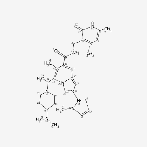 Cc1cc(C)c(CNC(=O)c2cc3cc(N4CC=CN4C)cn3c(C(C)N3CCC(N(C)C)CC3)c2C)c(=O)[nH]1